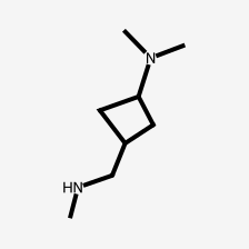 CNCC1CC(N(C)C)C1